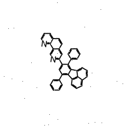 c1ccc(-c2cc(-c3cc4ccc5cccnc5c4cn3)c(-c3ccccc3)c3c2-c2cccc4cccc-3c24)cc1